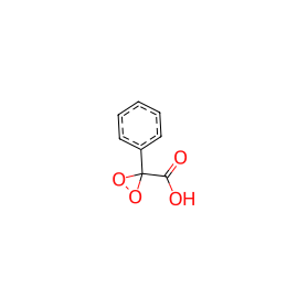 O=C(O)C1(c2ccccc2)OO1